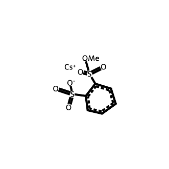 COS(=O)(=O)c1ccccc1S(=O)(=O)[O-].[Cs+]